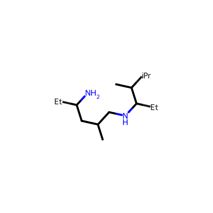 CCC(N)CC(C)CNC(CC)C(C)C(C)C